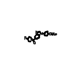 COc1ccc(-n2cnc3cc(C(=O)N4CCC(F)CC4)ccc32)cc1